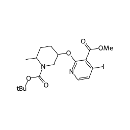 COC(=O)c1c(I)ccnc1OC1CCC(C)N(C(=O)OC(C)(C)C)C1